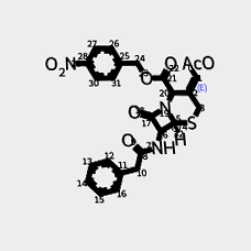 CC(=O)O/C=C1/CS[C@@H]2C(NC(=O)Cc3ccccc3)C(=O)N2C1C(=O)OCc1ccc([N+](=O)[O-])cc1